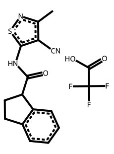 Cc1nsc(NC(=O)C2CCc3ccccc32)c1C#N.O=C(O)C(F)(F)F